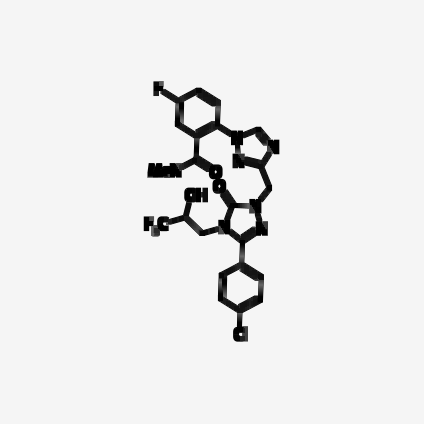 CNC(=O)c1cc(F)ccc1-n1cnc(Cn2nc(-c3ccc(Cl)cc3)n(CC(O)C(F)(F)F)c2=O)n1